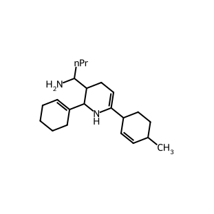 CCCC(N)C1CC=C(C2C=CC(C)CC2)NC1C1=CCCCC1